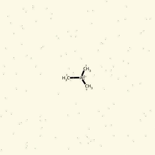 [CH3][Al-2]([CH3])[CH3]